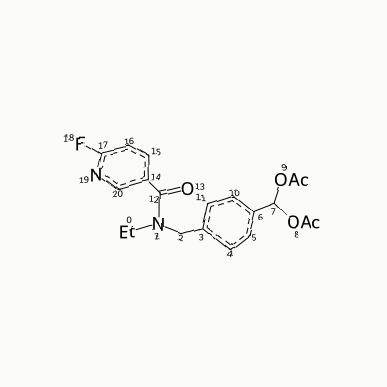 CCN(Cc1ccc(C(OC(C)=O)OC(C)=O)cc1)C(=O)c1ccc(F)nc1